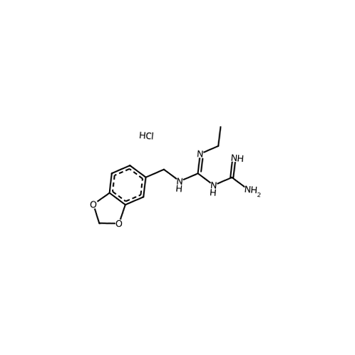 CCN=C(NCc1ccc2c(c1)OCO2)NC(=N)N.Cl